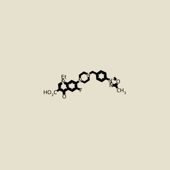 CCn1cc(C(=O)O)c(=O)c2cc(F)c(N3CCN(Cc4ccc(-[n+]5coc(C)n5)cc4)CC3)cc21